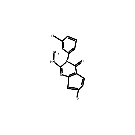 NNc1nc2cc(Br)ccc2c(=O)n1-c1cccc(Cl)c1